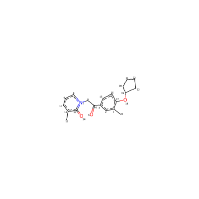 Cc1cc(C(=O)Cn2cccc(C)c2=O)ccc1OC1CCCC1